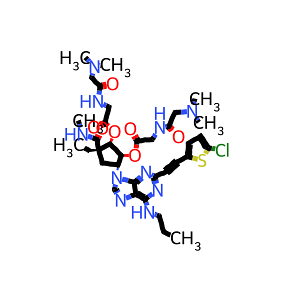 CCCNc1nc(C#Cc2ccc(Cl)s2)nc2c1ncn2[C@@H]1C[C@](CC)(C(=O)NC)[C@@H](OC(=O)CNC(=O)CN(C)C)[C@H]1OC(=O)CNC(=O)CN(C)C